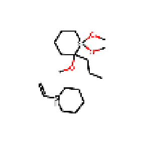 C=C[SiH]1CCCCC1.CCCC1(OC)CCCC[Si]1(OC)OC